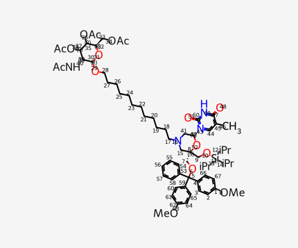 COc1ccc(C(OC[C@]2(CO[Si](C(C)C)(C(C)C)C(C)C)CN(CCCCCCCCCCCCO[C@@H]3O[C@H](COC(C)=O)[C@H](OC(C)=O)[C@H](OC(C)=O)[C@H]3NC(C)=O)C[C@H](n3cc(C)c(=O)[nH]c3=O)O2)(c2ccccc2)c2ccc(OC)cc2)cc1